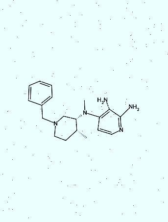 C[C@@H]1CCN(Cc2ccccc2)C[C@@H]1N(C)c1ccnc(N)c1N